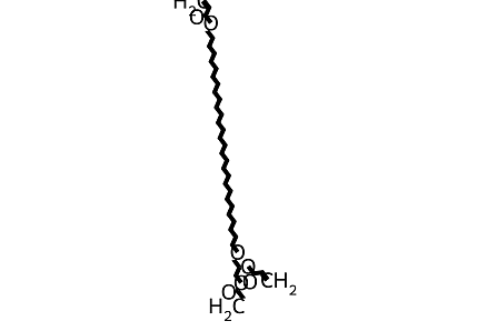 C=CC(=O)OCCCCCCCCCCCCCCCCCCCCCCCCCCCCCOCC(COC(=O)C=C)OC(=O)C=C